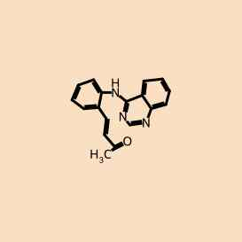 CC(=O)C=Cc1ccccc1Nc1ncnc2ccccc12